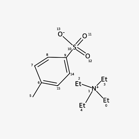 CC[N+](CC)(CC)CC.Cc1ccc(S(=O)(=O)[O-])cc1